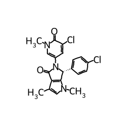 Cc1cn(C)c2c1C(=O)N(c1cc(Cl)c(=O)n(C)c1)[C@@H]2c1ccc(Cl)cc1